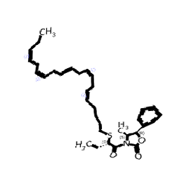 CC/C=C\C/C=C\CC=CC/C=C\C/C=C\CCCCS[C@@H](CC)C(=O)N1C(=O)O[C@H](c2ccccc2)[C@@H]1C